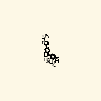 CCc1ccc(-c2cccc3cc(-c4ccc(C(=O)OC)nc4)ncc23)c2c1NC(=O)C[C@@H](C)N2